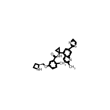 Cc1ccc2c(C3(NC(=O)c4cc(OC[C@@H]5CCN5)ccc4C)CC3)cc(-c3nccs3)cc2n1